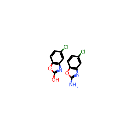 Nc1nc2cc(Cl)ccc2o1.Oc1nc2cc(Cl)ccc2o1